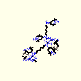 Cc1nc(NC(C)(C)CC(C)(C)C)nc(N(CCCCCCN(c2nc(NC(C)(C)CC(C)(C)C)nc(N(CCCCCCN(C)C3CC(C)(C)NC(C)(C)C3)C3CC(C)(C)NC(C)(C)C3)n2)C2CC(C)(C)NC(C)(C)C2)C2CC(C)(C)NC(C)(C)C2)n1